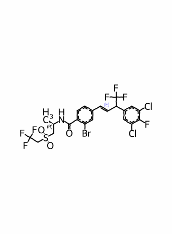 C[C@H](CS(=O)(=O)CC(F)(F)F)NC(=O)c1ccc(/C=C/C(c2cc(Cl)c(F)c(Cl)c2)C(F)(F)F)cc1Br